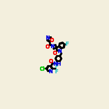 O=C(NC1CCC(CN2C(=O)C3(CN(C(=O)c4cnco4)C3)c3ccc(F)cc32)CC1)c1cc(Cl)cnc1C(F)F